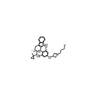 C[C@@H]1Cc2c([nH]c3ccccc23)[C@@H](c2c(F)cc(OC3CN(CCCF)C3)cc2F)N1C(=O)C1(C)CC1